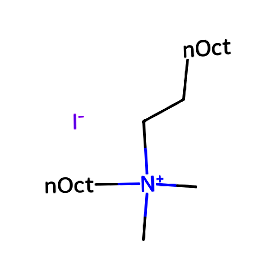 CCCCCCCCCC[N+](C)(C)CCCCCCCC.[I-]